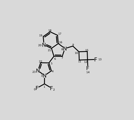 FC(F)n1cc(-c2cn(CC3CC(F)(F)C3)c3cccnc23)cn1